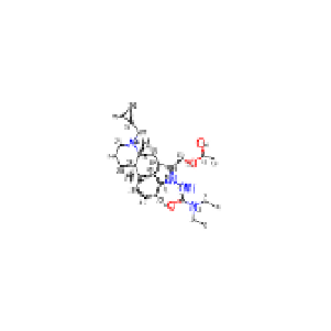 CCN(CC)C(=O)Nn1c(COC(C)=O)c2c3c(cccc31)[C@H]1CCCN(CC3CC3)[C@@H]1C2